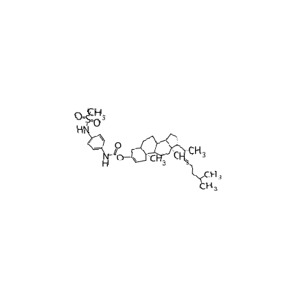 CC(C)CCC[C@@H](C)[C@H]1CCC2C3CCC4CC(OC(=O)Nc5ccc(NS(C)(=O)=O)cc5)=CC[C@]4(C)C3CC[C@@]21C